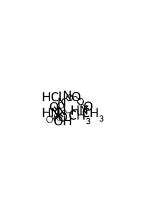 CCCCN1C(=O)[C@@H]([C@H](O)C2CCCCC2)NC(=O)C12CCN(Cc1ccc(Oc3ccc(C(=O)NC)cc3)cn1)CC2.Cl